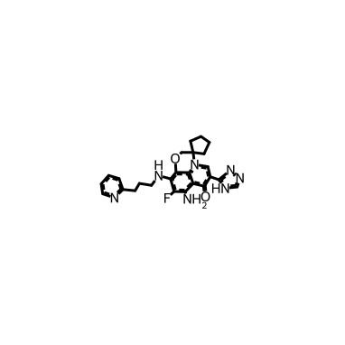 Nc1c(F)c(NCCCc2ccccn2)c2c3c1c(=O)c(-c1nnc[nH]1)cn3C1(CCCC1)CO2